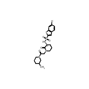 CC1CCCN(C(=O)CN2CCC[C@H](NS(=O)(=O)c3cc4ccc(Cl)cc4s3)C2=O)C1